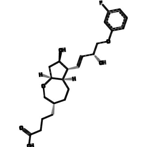 O=C(O)CCC[C@H]1CC[C@@H]2[C@@H](/C=C/[C@@H](O)COc3cccc(F)c3)[C@H](O)C[C@@H]2OC1